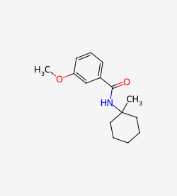 COc1cccc(C(=O)NC2(C)CCCCC2)c1